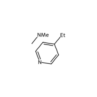 CCc1ccncc1.CNC